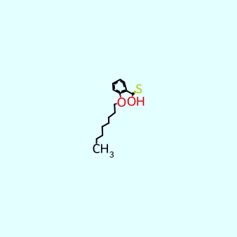 CCCCCCCCOc1ccccc1C(O)=S